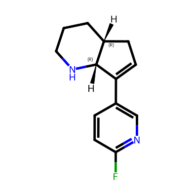 Fc1ccc(C2=CC[C@H]3CCCN[C@@H]23)cn1